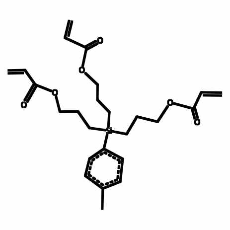 C=CC(=O)OCCC[Si](CCCOC(=O)C=C)(CCCOC(=O)C=C)c1ccc(C)cc1